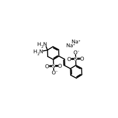 NC1(N)C=CC(C=Cc2ccccc2S(=O)(=O)[O-])=C(S(=O)(=O)[O-])C1.[Na+].[Na+]